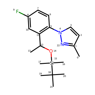 Cc1ccn(-c2ccc(F)cc2C(C)O[Si](C)(C)C(C)(C)C)n1